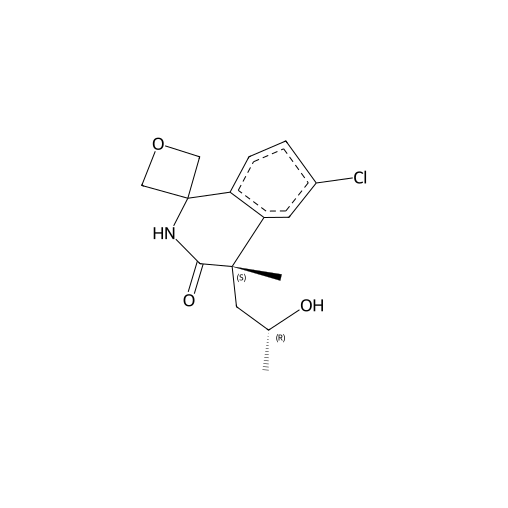 C[C@@H](O)C[C@]1(C)C(=O)NC2(COC2)c2ccc(Cl)cc21